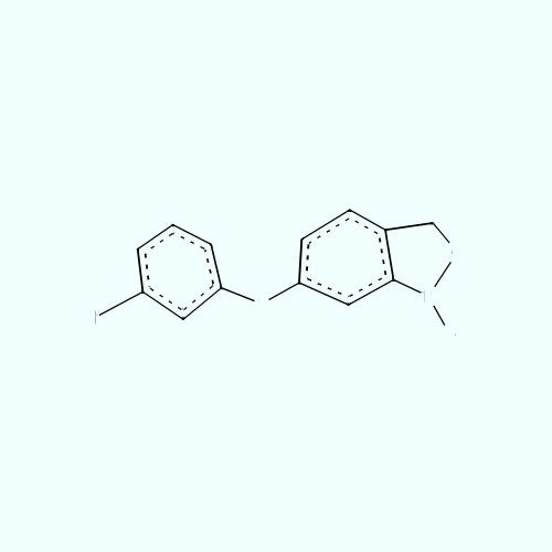 OB1OCc2ccc(Sc3cccc(Cl)c3)cc21